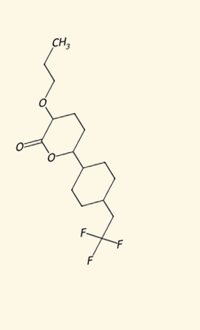 CCCOC1CCC(C2CCC(CC(F)(F)F)CC2)OC1=O